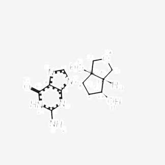 Nc1nc2c(ncn2[C@H]2C[C@H](O)[C@H]3COC[C@]32O)c(=O)[nH]1